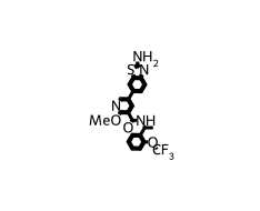 COc1ncc(-c2ccc3nc(N)sc3c2)cc1C(=O)NC(C)c1ccccc1OC(F)(F)F